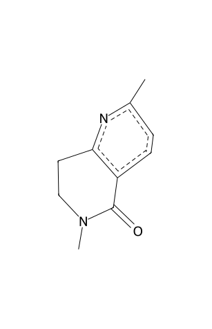 Cc1ccc2c(n1)CCN(C)C2=O